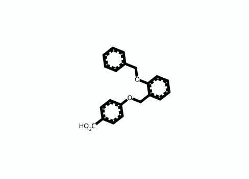 O=C(O)c1ccc(OCc2ccccc2OCc2ccccc2)cc1